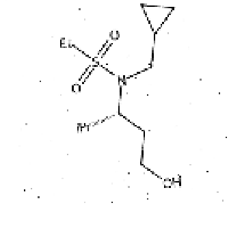 CCS(=O)(=O)N(CC1CC1)[C@H](CCO)C(C)C